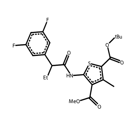 CCC(C(=O)Nc1sc(C(=O)OC(C)(C)C)c(C)c1C(=O)OC)c1cc(F)cc(F)c1